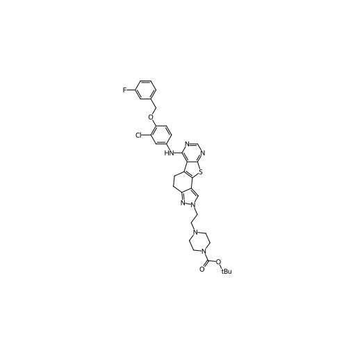 CC(C)(C)OC(=O)N1CCN(CCn2cc3c(n2)CCc2c-3sc3ncnc(Nc4ccc(OCc5cccc(F)c5)c(Cl)c4)c23)CC1